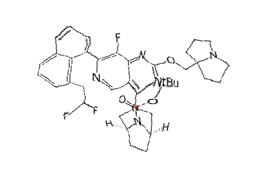 CC(C)(C)OC(=O)N1[C@@H]2CC[C@H]1CN(c1nc(OCC34CCCN3CCC4)nc3c(F)c(-c4cccc5cccc(CC(F)F)c45)ncc13)C2